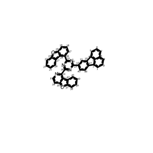 c1cc2c3c(cccc3c1)-c1cc(-c3nc(-c4cccc5oc6ccccc6c45)nc(-c4nccc5oc6ccccc6c45)n3)ccc1-2